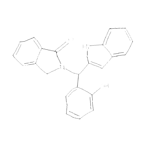 O=C1c2ccccc2CN1C(c1cc2ccccc2[nH]1)c1ccccc1O